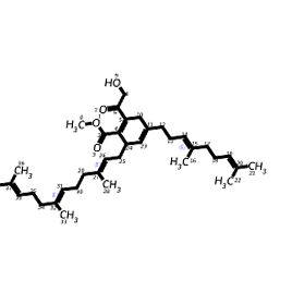 COC(=O)C1=C(C(=O)CO)CC(CC/C=C(\C)CCC=C(C)C)=CC1C/C=C(\C)CC/C=C(\C)CCC=C(C)C